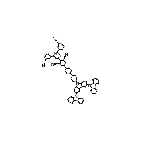 N#Cc1cccc(-c2cc(-c3c(C#N)cc(-c4ccc(-c5ccc(-n6c7ccc(-n8c9ccccc9c9ccccc98)cc7c7cc(-n8c9ccccc9c9ccccc98)ccc76)cc5)cc4)cc3C#N)nc(-c3cccc(C#N)c3)n2)c1